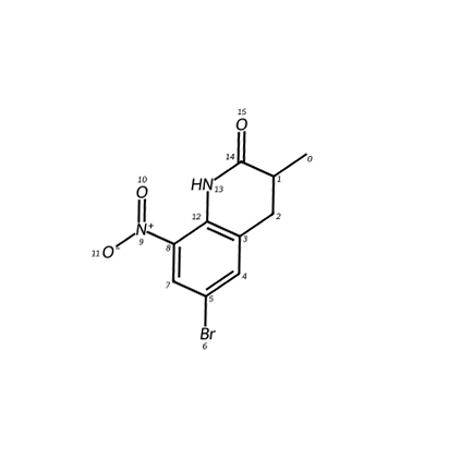 CC1Cc2cc(Br)cc([N+](=O)[O-])c2NC1=O